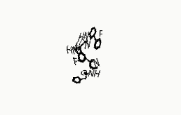 O=C(Cc1ccccc1)Nc1cncc(-c2cc(F)c3[nH]nc(-c4nc5c(-c6ccccc6F)cccc5[nH]4)c3c2)c1